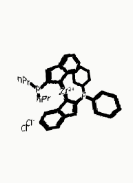 CCCP(CCC)C1=Cc2ccccc2[CH]1[Zr+2][CH]1C(P(C2CCCCC2)C2CCCCC2)=Cc2ccccc21.[Cl-].[Cl-]